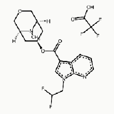 CN1[C@@H]2COC[C@H]1C[C@@H](OC(=O)c1cn(CC(F)F)c3ncccc13)C2.O=C(O)C(F)(F)F